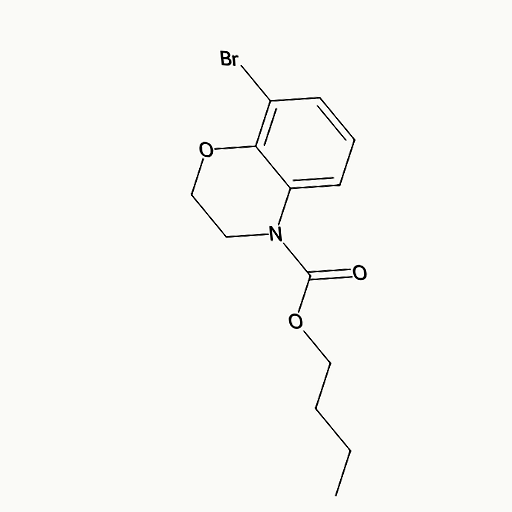 CCCCOC(=O)N1CCOc2c(Br)cccc21